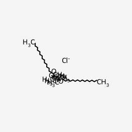 CCCCCCCCCCCCCCCC(=O)OC(C)(C)[N+](C)(C)C(C)(C)OC(=O)CCCCCCCCCCCCCCC.[Cl-]